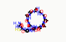 CC[C@@H]1NC(=O)[C@H]([C@H](O)[C@H](C)Cc2nc3cc(C(=O)N[C@@H](CS)C(=O)N[C@@H](C)C(N)=O)ccc3[nH]2)NC(=O)[C@H](C(C)C)N(C)C(=O)[C@H](CC(C)C)N(C)C(=O)[C@H](CC(C)C)N(C)C(=O)[C@@H](C)NC(=O)[C@H](C)NC(=O)[C@H](CC(C)C)N(C)C(=O)[C@H](C(C)C)NC(=O)[C@H](CC(C)C)N(C)C(=O)CN(C)C1=O